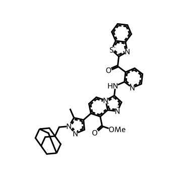 COC(=O)c1c(-c2cnn(CC34CC5CC(CC(C5)C3)C4)c2C)ccn2c(Nc3ncccc3C(=O)c3nc4ccccc4s3)cnc12